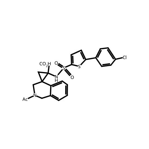 CC(=O)N1Cc2ccccc2C2(C1)CC2(NS(=O)(=O)c1ccc(-c2ccc(Cl)cc2)s1)C(=O)O